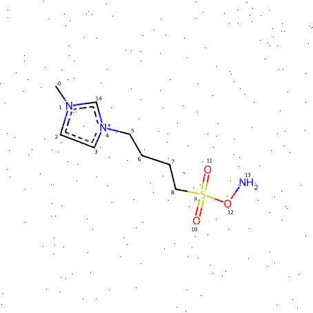 Cn1cc[n+](CCCCS(=O)(=O)ON)c1